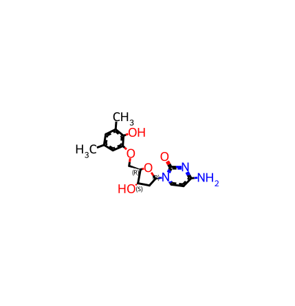 Cc1cc(C)c(O)c(OC[C@H]2O[C@@H](n3ccc(N)nc3=O)C[C@@H]2O)c1